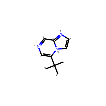 CC(C)(C)c1cncc2nccn12